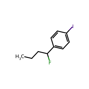 CCCC(F)c1ccc(I)cc1